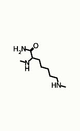 CNCCCCCC(NC)C(N)=O